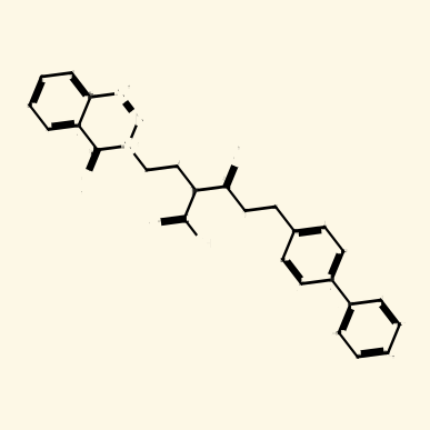 O=C(O)C(CCn1nnc2ccccc2c1=O)C(=O)CCc1ccc(-c2ccccc2)cc1